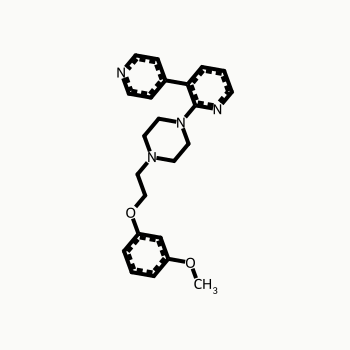 COc1cccc(OCCN2CCN(c3ncccc3-c3ccncc3)CC2)c1